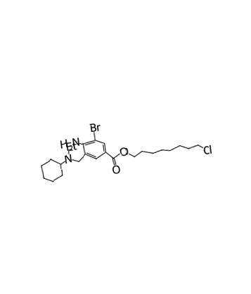 CCN(Cc1cc(C(=O)OCCCCCCCCCl)cc(Br)c1N)C1CCCCC1